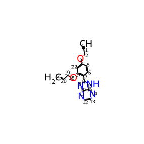 C#CCOc1ccc(-c2nc3nccnc3[nH]2)c(OCC=C)c1